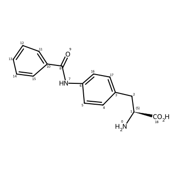 N[C@@H](Cc1ccc(NC(=O)c2ccccc2)cc1)C(=O)O